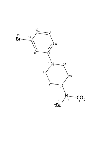 CC(C)(C)N(C(=O)O)C1CCN(c2cccc(Br)c2)CC1